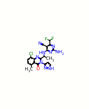 Cc1ccc(Cl)c2nc(C(C)Nc3nc(N)nc(C(F)F)c3C#N)n(-c3cc[nH]n3)c(=O)c12